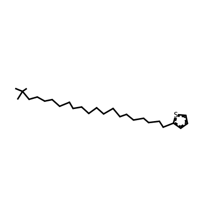 CC(C)(C)CCCCCCCCCCCCCCCCCCCc1cccs1